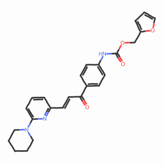 O=C(Nc1ccc(C(=O)C=Cc2cccc(N3CCCCC3)n2)cc1)OCc1ccco1